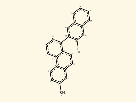 Cc1ccc2c(ccc3c(-c4cc5ccccc5cc4F)nccc32)c1